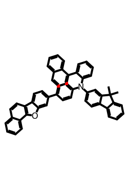 CC1(C)c2ccccc2-c2ccc(N(c3ccc(-c4ccc5c(c4)oc4c6ccccc6ccc54)cc3)c3ccccc3-c3cccc4ccccc34)cc21